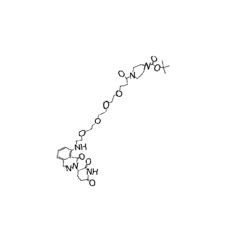 CC(C)(C)OC(=O)N1CCN(C(=O)CCOCCOCCOCCOCCNc2cccc3cnn(C4CCC(=O)NC4=O)c(=O)c23)CC1